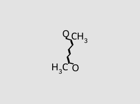 C/C(C=O)=C/C=C/C=C(/C)C=O